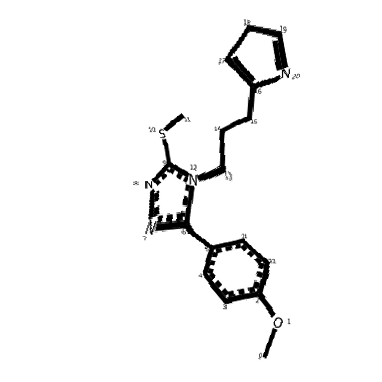 COc1ccc(-c2nnc(SC)n2CCCC2=CCC=N2)cc1